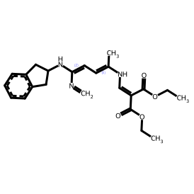 C=N/C(=C\C=C(/C)NC=C(C(=O)OCC)C(=O)OCC)NC1Cc2ccccc2C1